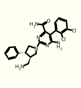 NC[C@@H]1CN(c2nc(N)c(-c3cccc(Cl)c3Cl)c(C(N)=O)n2)C[C@H]1c1ccccc1